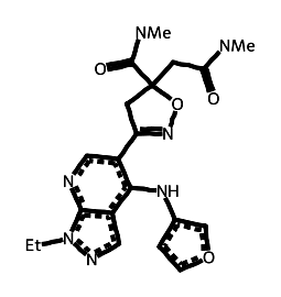 CCn1ncc2c(Nc3ccoc3)c(C3=NOC(CC(=O)NC)(C(=O)NC)C3)cnc21